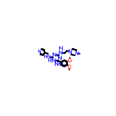 COc1ccc(C2(N)N=C(NCCN3CCN(C)CC3)N=C(NCc3ccncc3)N2)cc1OC